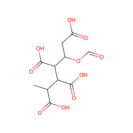 CC(C(=O)O)C(C(=O)O)C(C(=O)O)C(CC(=O)O)OC=O